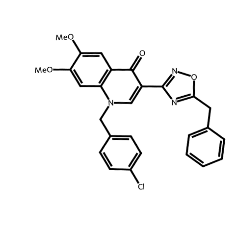 COc1cc2c(=O)c(-c3noc(Cc4ccccc4)n3)cn(Cc3ccc(Cl)cc3)c2cc1OC